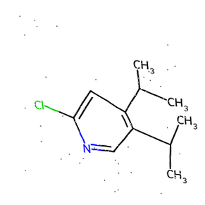 CC(C)c1cnc(Cl)cc1C(C)C